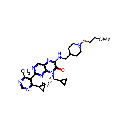 COCCSN1CCC(CNc2nc3cnc(-c4c(C)ncnc4C4CC4)nc3n([C@@H](C)C3CC3)c2=O)CC1